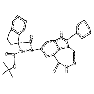 CC(C)(C)OC(=O)NC1(C(=O)Nc2cc3c4c(c(-c5ccccc5)[nH]c4c2)C=NNC3=O)CCc2ccccc21